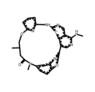 CNc1ncc2c3cc(ncc13)Nc1cccc(n1)OCC(C)CC(=O)N(C)c1ccc3oc-2nc3c1